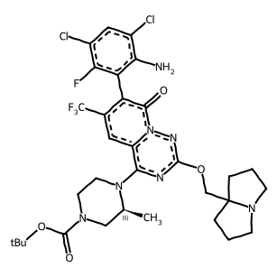 C[C@H]1CN(C(=O)OC(C)(C)C)CCN1c1nc(OCC23CCCN2CCC3)nn2c(=O)c(-c3c(N)c(Cl)cc(Cl)c3F)c(C(F)(F)F)cc12